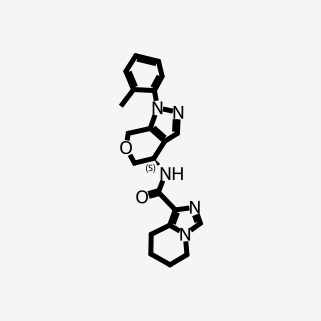 Cc1ccccc1-n1ncc2c1COC[C@H]2NC(=O)c1ncn2c1CCCC2